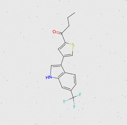 CCCC(=O)c1cc(-c2c[nH]c3cc(C(F)(F)F)ccc23)cs1